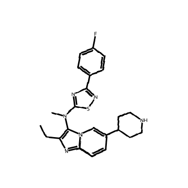 CCc1nc2ccc(C3CCNCC3)cn2c1N(C)c1nc(-c2ccc(F)cc2)ns1